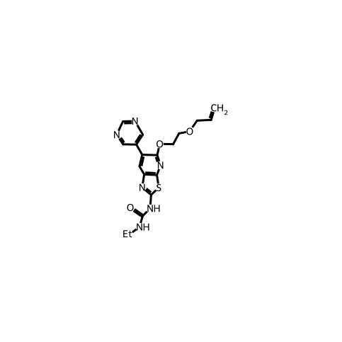 C=CCOCCOc1nc2sc(NC(=O)NCC)nc2cc1-c1cncnc1